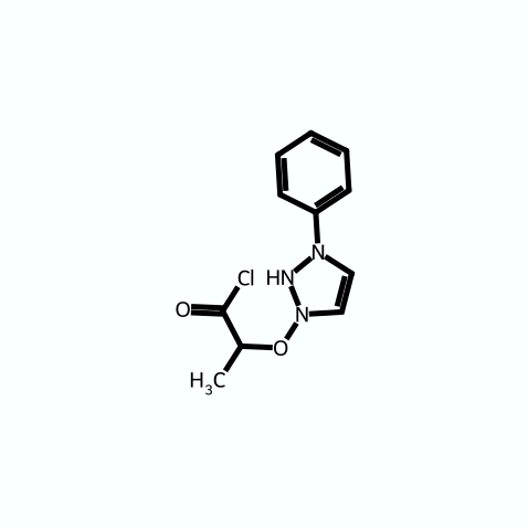 CC(ON1C=CN(c2ccccc2)N1)C(=O)Cl